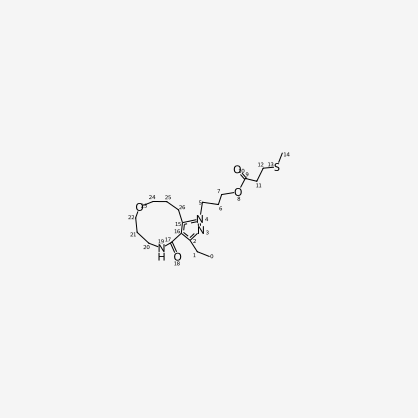 CCc1nn(CCCOC(=O)CCSC)c2c1C(=O)NCCCOCCC2